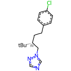 CC(C)(C)[C@H](CCc1ccc(Cl)cc1)Cn1cncn1